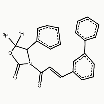 [2H]C1([2H])OC(=O)N(C(=O)/C=C/c2cccc(-c3ccccc3)c2)C1c1ccccc1